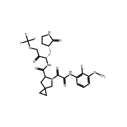 COc1cccc(NC(=O)C(=O)N2CC3(CC3)CC2C(=O)N[C@@H](C[C@@H]2CCNC2=O)C(=O)COC(F)(F)F)c1F